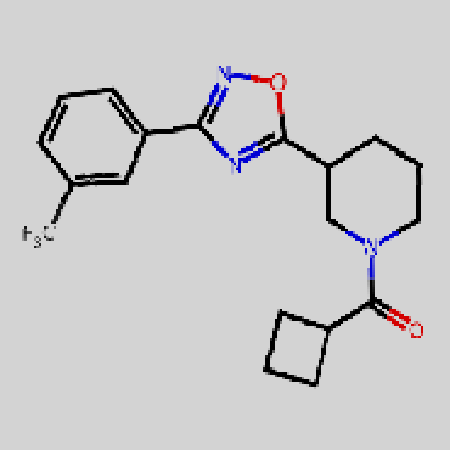 O=C(C1CCC1)N1CCCC(c2nc(-c3cccc(C(F)(F)F)c3)no2)C1